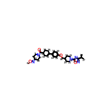 CON=C1CCN(C(=O)C2CC=C(c3ccc(OCC4CCN(c5nc(C(C)C)no5)CC4)cc3)CC2)CC1